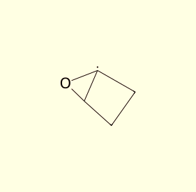 C1CC2O[C]12